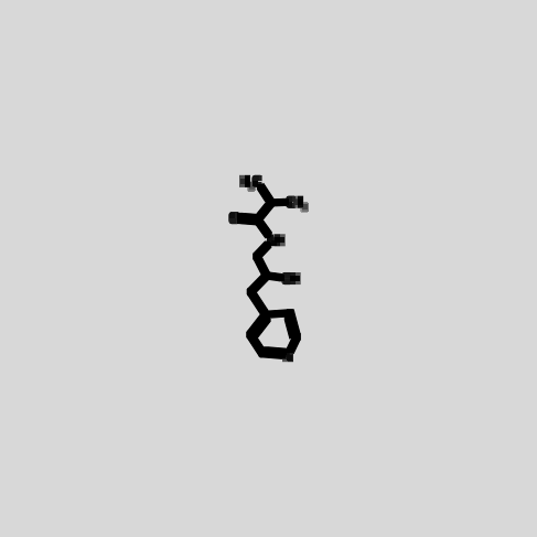 CC(C)C(=O)NCC(O)Cc1ccncc1